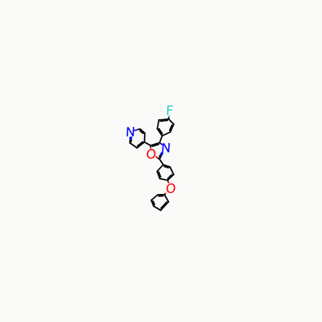 Fc1ccc(-c2nc(-c3ccc(Oc4ccccc4)cc3)oc2-c2ccncc2)cc1